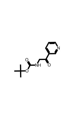 CC(C)(C)OC(=O)NCC(=O)c1cccnc1